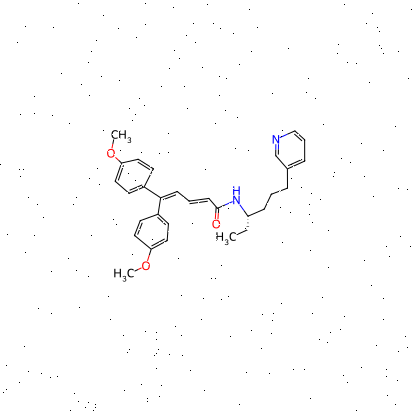 CC[C@@H](CCCc1cccnc1)NC(=O)/C=C/C=C(c1ccc(OC)cc1)c1ccc(OC)cc1